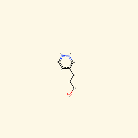 OCCCc1ccnnc1